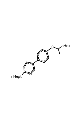 CCCCCCCc1ccc(-c2ccc(OC(C)CCCCCC)cc2)cn1